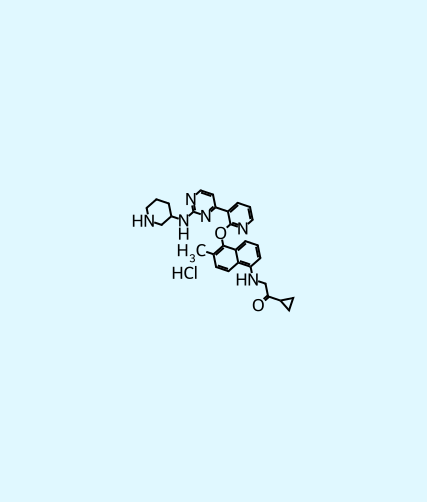 Cc1ccc2c(NCC(=O)C3CC3)cccc2c1Oc1ncccc1-c1ccnc(NC2CCCNC2)n1.Cl